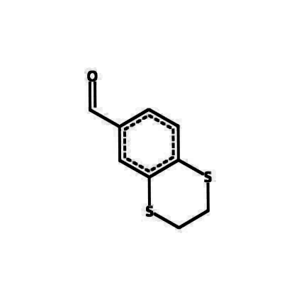 O=Cc1ccc2c(c1)SCCS2